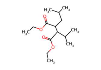 CCOC(=O)C(CC(C)C)C(C(=O)OCC)C(C)C